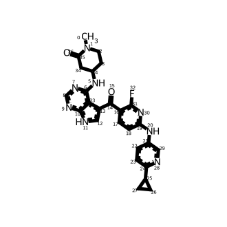 CN1CCC(Nc2ncnc3[nH]cc(C(=O)c4ccc(Nc5ccc(C6CC6)nc5)nc4F)c23)CC1=O